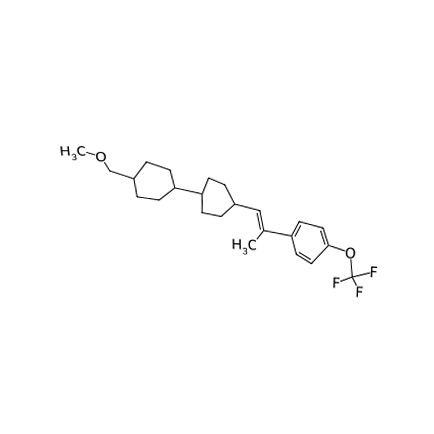 COCC1CCC(C2CCC(/C=C(\C)c3ccc(OC(F)(F)F)cc3)CC2)CC1